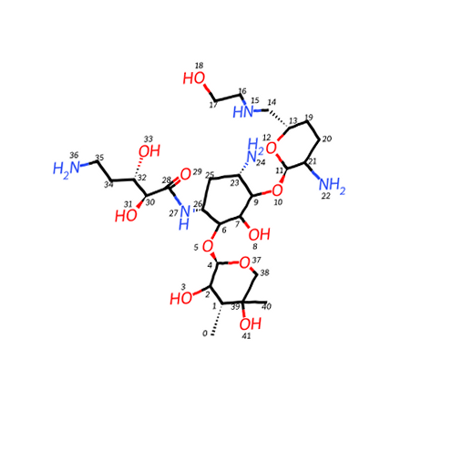 C[C@@H]1C(O)[C@@H](OC2C(O)C(O[C@H]3O[C@H](CNCCO)CCC3N)[C@@H](N)C[C@H]2NC(=O)[C@@H](O)[C@@H](O)CCN)OCC1(C)O